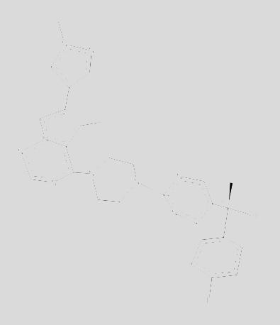 Cn1cc(-c2cn3ncnc(N4CCN(c5ncc([C@](C)(O)c6ccc(F)cc6)cn5)CC4)c3c2F)cn1